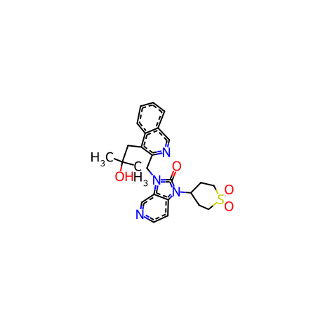 CC(C)(O)Cc1c(Cn2c(=O)n(C3CCS(=O)(=O)CC3)c3ccncc32)ncc2ccccc12